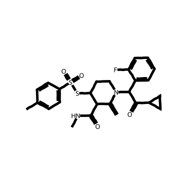 C=C1C(C(=O)NC)C(SS(=O)(=O)c2ccc(C)cc2)CCN1C(C(=O)C1CC1)c1ccccc1F